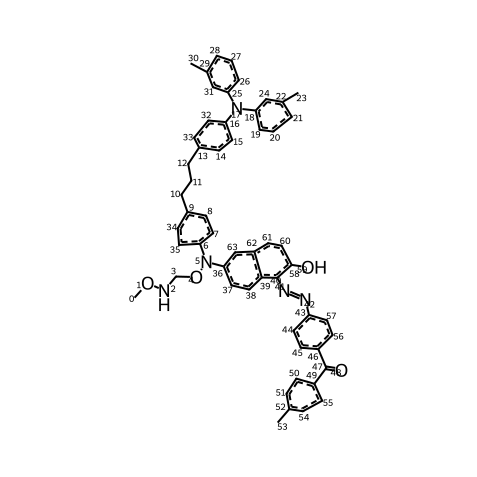 CONCON(c1ccc(CCCc2ccc(N(c3cccc(C)c3)c3cccc(C)c3)cc2)cc1)c1ccc2c(N=Nc3ccc(C(=O)c4ccc(C)cc4)cc3)c(O)ccc2c1